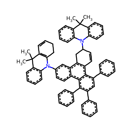 CC1(C)C2=C(CCC=C2)N(c2ccc3c(c2)c2c(c4c(-c5ccccc5)cc(-c5ccccc5)c(-c5ccccc5)c43)C=CC(N3c4ccccc4C(C)(C)c4ccccc43)C2)c2ccccc21